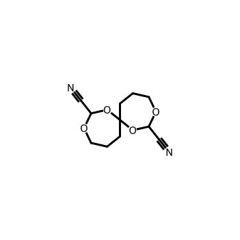 N#CC1OCCCC2(CCCOC(C#N)O2)O1